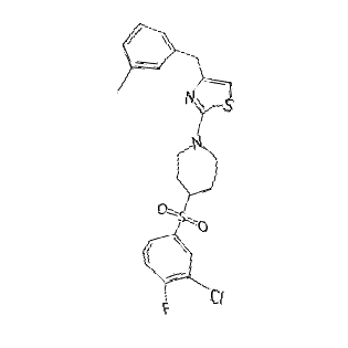 Cc1cccc(Cc2csc(N3CCC(S(=O)(=O)c4ccc(F)c(Cl)c4)CC3)n2)c1